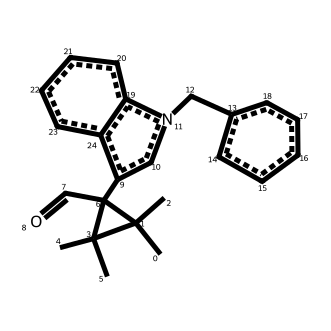 CC1(C)C(C)(C)C1(C=O)c1cn(Cc2ccccc2)c2ccccc12